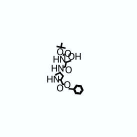 CC(C)(C)OC(=O)NC(CO)C(=O)NC1CNC(C(=O)OCc2ccccc2)C1